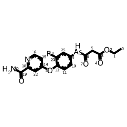 CCOC(=O)CC(=O)[AsH]c1ccc(Oc2ccnc(C(N)=O)c2)c(F)c1